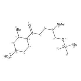 CNC(CCC(=O)N1CCN(C(=O)O)CC1C(C)(C)C)CO[Si](C)(C)C(C)(C)C